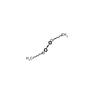 CCCCCC=CCOc1ccc(C#Cc2ccc(OCCCCCCCCC)cc2)cc1